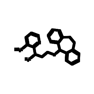 CN(CCOC1c2ccccc2CCc2ccccc21)c1ncccc1C(=O)O